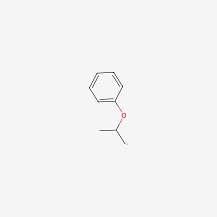 [CH2]C(C)Oc1ccccc1